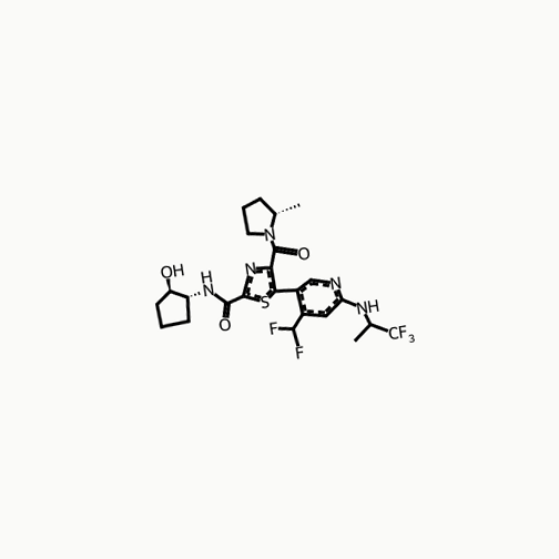 CC(Nc1cc(C(F)F)c(-c2sc(C(=O)N[C@@H]3CCC[C@H]3O)nc2C(=O)N2CCC[C@@H]2C)cn1)C(F)(F)F